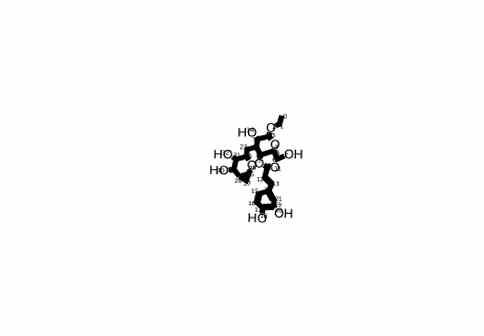 CCOC1OC(CO)C(OC(=O)/C=C/c2ccc(O)c(O)c2)C(CC2OC3CC3C(O)C2O)C1O